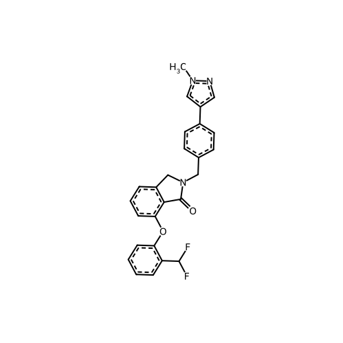 Cn1cc(-c2ccc(CN3Cc4cccc(Oc5ccccc5C(F)F)c4C3=O)cc2)cn1